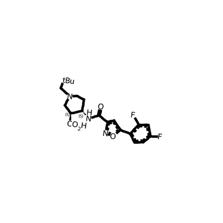 CC(C)(C)CN1CC[C@H](NC(=O)c2cc(-c3ccc(F)cc3F)on2)[C@@H](C(=O)O)C1